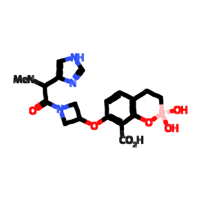 CNC(C(=O)N1CC(Oc2ccc3c(c2C(=O)O)O[B-](O)(O)CC3)C1)c1c[nH]cn1